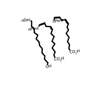 CCCCC/C=C\C/C=C\CCCCCCCC(=O)O.CCCCC/C=C\C/C=C\CCCCCCCC(=O)O.CCCCCCCCCCCCCCCCCCCCCCCO